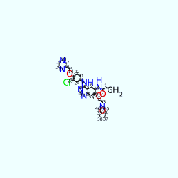 C=CC(=O)Nc1cc2c(Nc3ccc(OCc4cnccn4)c(Cl)c3)ncnc2cc1OCCN1CC2CCC(C1)O2